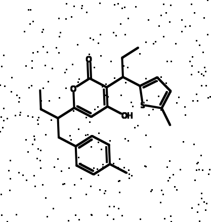 CCC(Cc1ccc(C)cc1)c1cc(O)c(C(CC)c2ccc(C)s2)c(=O)o1